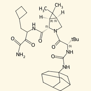 CC(C)(C)[C@H](NC(=O)NC12CC3CC(CC(C3)C1)C2)C(=O)N1C[C@H]2[C@@H]([C@H]1C(=O)NC(CC1CCC1)C(=O)C(N)=O)C2(C)C